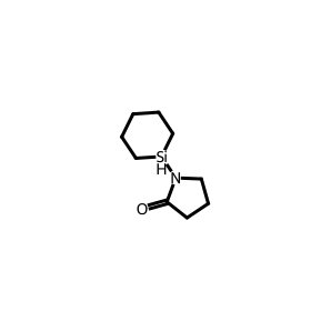 O=C1CCCN1[SiH]1CCCCC1